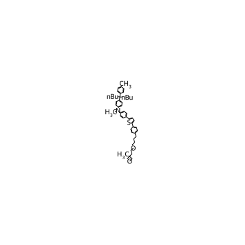 CCCCC(CCCC)(c1ccc(C)cc1)c1ccc(N(C)c2ccc(-c3ccc(-c4ccc(CCCCOCCC5(C)COC5)cc4)s3)cc2)cc1